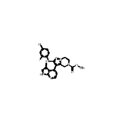 Cc1c[nH]c2nccc(-c3c(Nc4ccc(Cl)cc4F)nn4c3CN(C(=O)OC(C)(C)C)CC4)c12